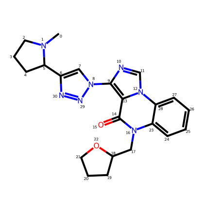 CN1CCCC1c1cn(-c2ncn3c2c(=O)n(CC2CCCO2)c2ccccc23)nn1